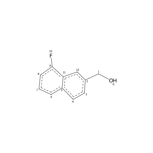 OCc1ccc2cccc(F)c2c1